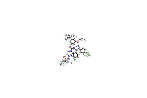 CCOc1cc(C(C)(C)C)ccc1C1=N[C@@H](c2ccc(Cl)cc2)[C@@H](c2ccc(Cl)cc2)N1C(=O)N1CCN(CC(=O)C(C)(C)C)CC1.Cl